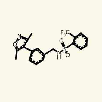 Cc1noc(C)c1-c1cccc(CNS(=O)(=O)c2ccccc2C(F)(F)F)c1